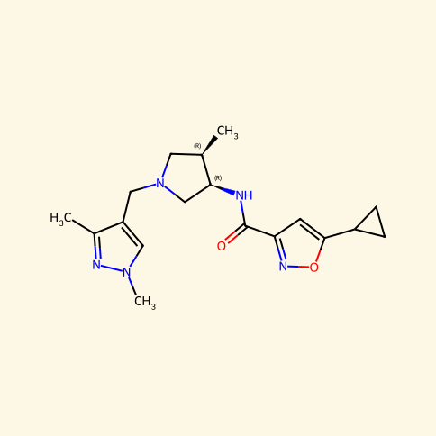 Cc1nn(C)cc1CN1C[C@@H](C)[C@@H](NC(=O)c2cc(C3CC3)on2)C1